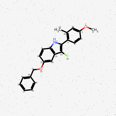 COc1ccc(-c2[nH]c3ccc(OCc4ccccc4)cc3c2F)c(C)c1